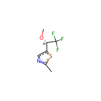 CO[C@@H](c1cnc(C)s1)C(F)(F)F